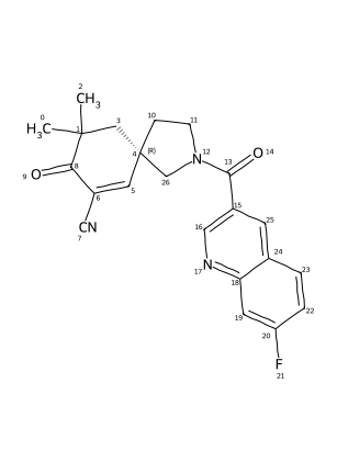 CC1(C)C[C@]2(C=C(C#N)C1=O)CCN(C(=O)c1cnc3cc(F)ccc3c1)C2